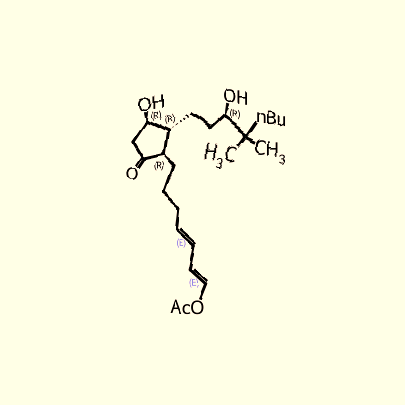 CCCCC(C)(C)[C@H](O)CC[C@H]1[C@H](O)CC(=O)[C@@H]1CCC/C=C/C=C/OC(C)=O